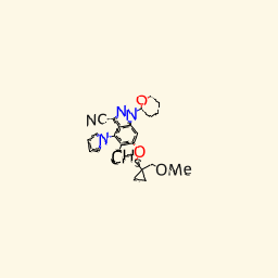 COCC1(COc2cc3c(c(C#N)nn3C3CCCCO3)c(-n3cccc3)c2C)CC1